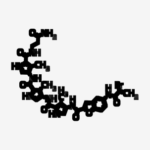 C=C(Br)C(=O)Nc1ccc2oc(C(=O)Nc3c[nH]c(C(=O)Nc4c[nH]c(C(=O)Nc5c[nH]c(C(=O)NCCC(N)=O)c5C)c4C)c3C)cc2c1